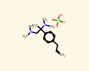 C=CCc1ccc(C(C)(CN(C)C)N(C)C)cc1.[O-][Cl+3]([O-])([O-])O